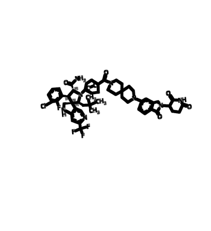 CC(C)(C)C[C@@H]1N(C23CCC(C(=O)N4CCC5(CC4)CCN(c4ccc6c(c4)CN(C4CCC(=O)NC4=O)C6=O)CC5)(CC2)CC3)[C@@H](C(N)=O)[C@H](c2cccc(Cl)c2F)[C@]12CNc1cc(C(F)(F)F)ncc12